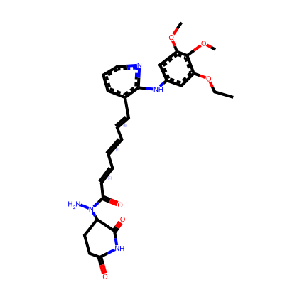 CCOc1cc(Nc2ncccc2/C=C/C=C/C=C/C(=O)N(N)C2CCC(=O)NC2=O)cc(OC)c1OC